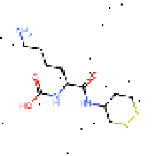 NCCCC[C@H](NC(=O)O)C(=O)NC1CCSSC1